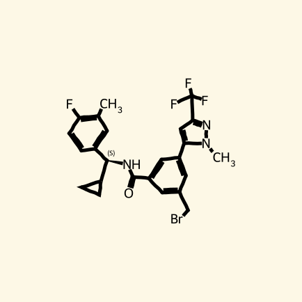 Cc1cc([C@@H](NC(=O)c2cc(CBr)cc(-c3cc(C(F)(F)F)nn3C)c2)C2CC2)ccc1F